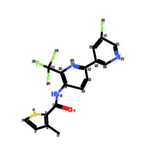 Cc1ccsc1C(=O)Nc1ccc(-c2cncc(F)c2)nc1C(F)(F)F